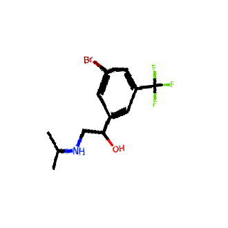 CC(C)NCC(O)c1cc(Br)cc(C(F)(F)F)c1